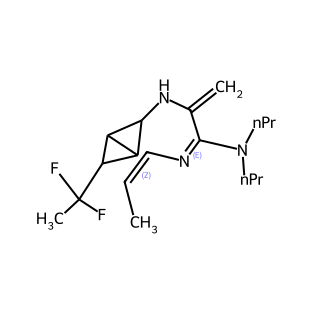 C=C(NC1C2C1C2C(C)(F)F)/C(=N\C=C/C)N(CCC)CCC